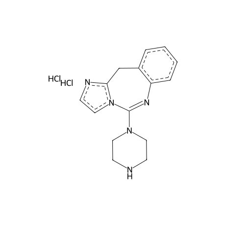 Cl.Cl.c1ccc2c(c1)Cc1nccn1C(N1CCNCC1)=N2